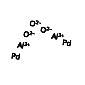 [Al+3].[Al+3].[O-2].[O-2].[O-2].[Pd].[Pd]